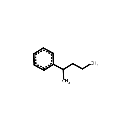 CCC[C](C)c1ccccc1